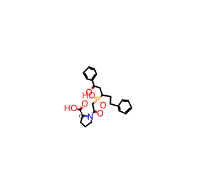 O=C(CC(CCc1ccccc1)P(=O)(O)CC(=O)N1CCC[C@H]1C(=O)O)c1ccccc1